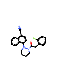 N#Cc1ccc(N2CCCCN2C(=O)Cc2ccccc2F)c2ccccc12